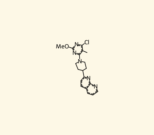 COc1nc(Cl)c(C)c(N2CCC(c3ccc4cccnc4n3)CC2)n1